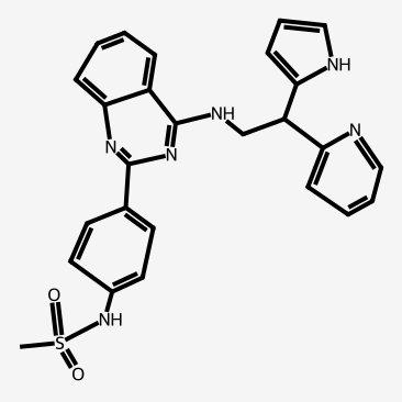 CS(=O)(=O)Nc1ccc(-c2nc(NCC(c3ccccn3)c3ccc[nH]3)c3ccccc3n2)cc1